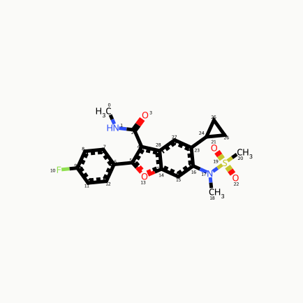 CNC(=O)c1c(-c2ccc(F)cc2)oc2cc(N(C)S(C)(=O)=O)c(C3CC3)cc12